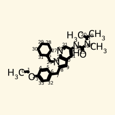 CCOc1ccc(Cc2cc3cc(NC(=O)N(C)C(C)C)cnc3n2CC2CCCCC2)cc1